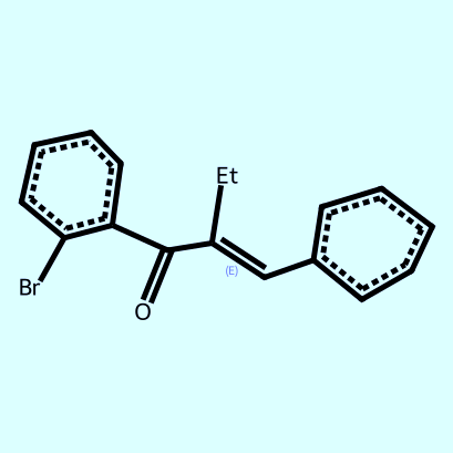 CC/C(=C\c1ccccc1)C(=O)c1ccccc1Br